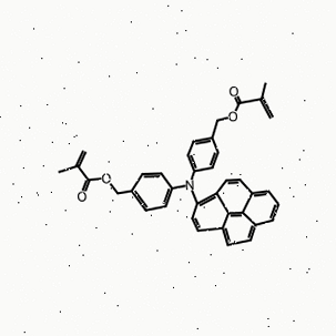 C=C(C)C(=O)OCc1ccc(N(c2ccc(COC(=O)C(=C)C)cc2)c2ccc3ccc4cccc5ccc2c3c45)cc1